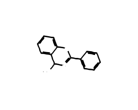 O=CC1N=C(c2ccccc2)Oc2ccccc21